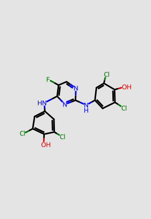 Oc1c(Cl)cc(Nc2ncc(F)c(Nc3cc(Cl)c(O)c(Cl)c3)n2)cc1Cl